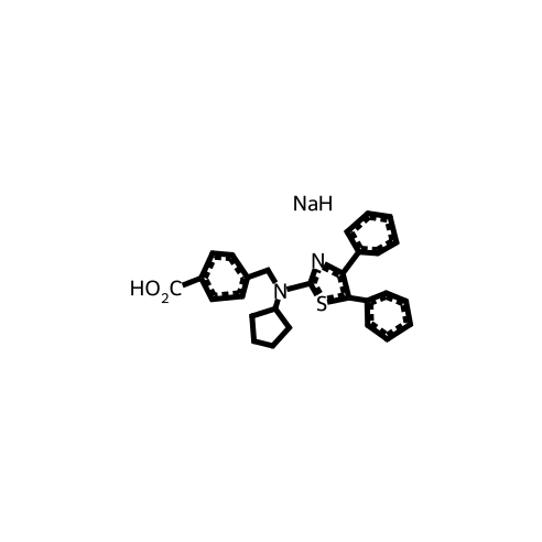 O=C(O)c1ccc(CN(c2nc(-c3ccccc3)c(-c3ccccc3)s2)C2CCCC2)cc1.[NaH]